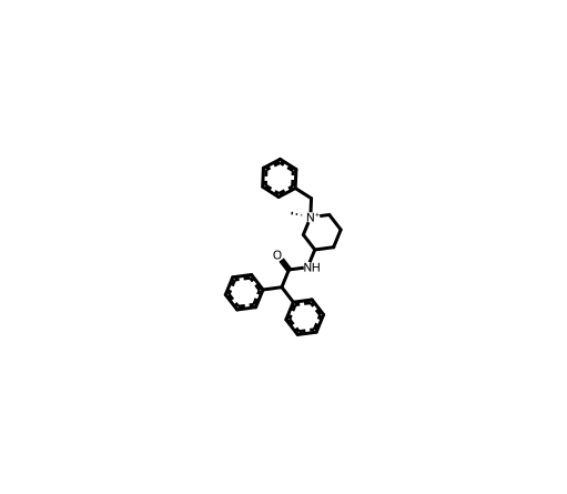 C[N@+]1(Cc2ccccc2)CCCC(NC(=O)C(c2ccccc2)c2ccccc2)C1